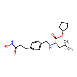 CC(C)C[C@@H](NCc1ccc(CCC(=O)NO)cc1)C(=O)OC1CCCC1